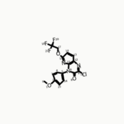 COc1ccc(-n2c(=O)c(Cl)nc3ccc(OCC(F)(F)F)nc32)cc1